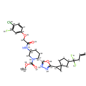 C=CCC(F)(F)C1CCC2(C1)CC2c1nnc([C@H]2CC[C@H](NC(=O)COc3ccc(Cl)c(F)c3)CN2C(=O)OC(C)(C)C)o1